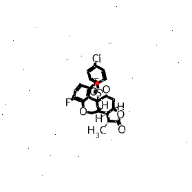 C[C@H]1C(=O)O[C@@H]2CC[C@@]3(S(=O)(=O)c4ccc(Cl)cc4)c4c(F)ccc(F)c4OC[C@H]3[C@@H]21